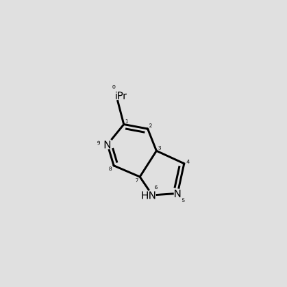 CC(C)C1=CC2C=NNC2C=N1